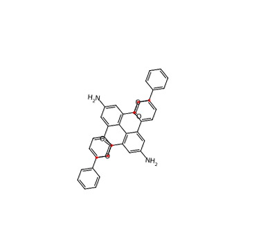 Nc1cc(C(=O)OCc2ccccc2)c(-c2c(C(=O)OCc3ccccc3)cc(N)cc2-c2ccccc2)c(-c2ccccc2)c1